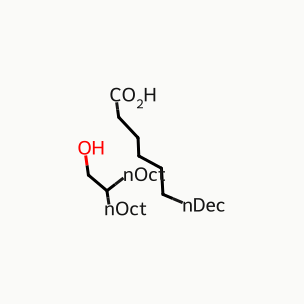 CCCCCCCCC(CO)CCCCCCCC.CCCCCCCCCCCCCCCC(=O)O